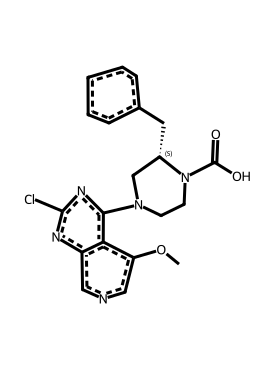 COc1cncc2nc(Cl)nc(N3CCN(C(=O)O)[C@@H](Cc4ccccc4)C3)c12